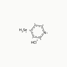 Cl.[SeH2].c1ccncc1